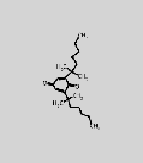 CCCCCC(C)(C)C1=CC(=O)C=C(C(C)(C)CCCCC)C1=O